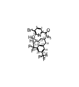 CN(C(=O)c1ccc(Br)c(O)n1)C(CCO)Cc1cc(C(F)(F)F)cc(C(F)(F)F)c1